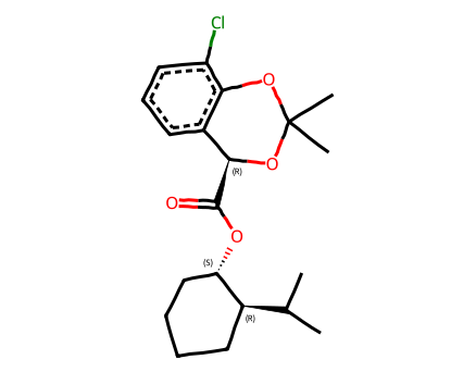 CC(C)[C@H]1CCCC[C@@H]1OC(=O)[C@@H]1OC(C)(C)Oc2c(Cl)cccc21